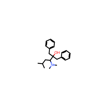 CC(C)CC(N(C)C)C(O)(Cc1ccccc1)Cc1ccccc1